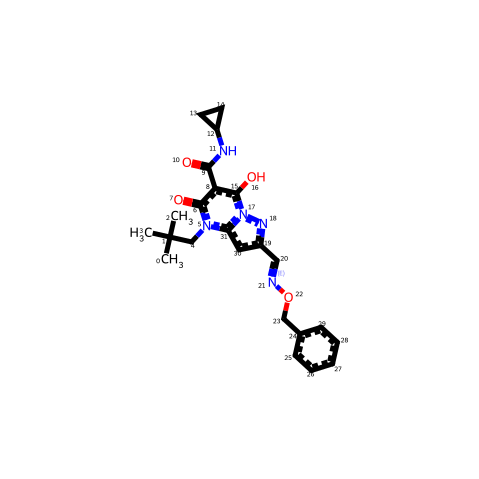 CC(C)(C)Cn1c(=O)c(C(=O)NC2CC2)c(O)n2nc(/C=N/OCc3ccccc3)cc12